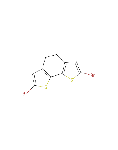 Brc1cc2c(s1)-c1sc(Br)cc1CC2